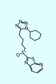 [O-][S+](CCCCc1nnnn1C1CCCCC1)c1nc2cccnc2s1